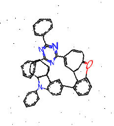 C1=CC2Oc3cccc(-c4ccc5c(c4)C4CCCCC4N5c4ccccc4)c3C2C=C1c1nc(-c2ccccc2)nc(-c2ccccc2)n1